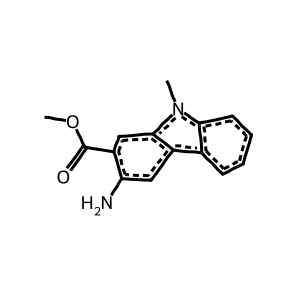 COC(=O)c1cc2c(cc1N)c1ccccc1n2C